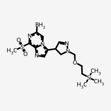 Bc1cn2c(C3C=NN(COCC[Si](C)(C)C)C3)cnc2c(S(C)(=O)=O)n1